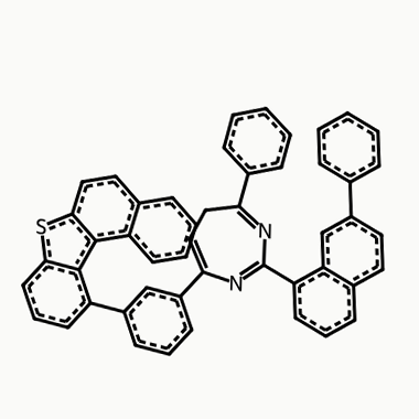 C1=C(c2cccc(-c3cccc4sc5ccc6ccccc6c5c34)c2)N=C(c2cccc3ccc(-c4ccccc4)cc23)N=C(c2ccccc2)C1